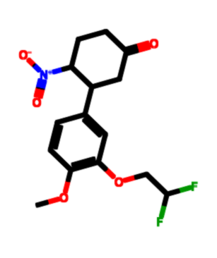 COc1ccc(C2CC(=O)CCC2[N+](=O)[O-])cc1OCC(F)F